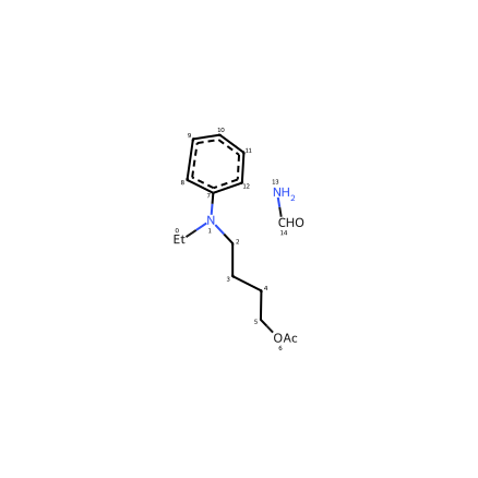 CCN(CCCCOC(C)=O)c1ccccc1.NC=O